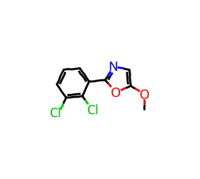 COc1cnc(-c2cccc(Cl)c2Cl)o1